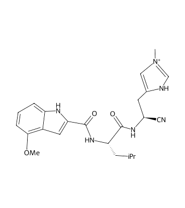 COc1cccc2[nH]c(C(=O)N[C@@H](CC(C)C)C(=O)N[C@H](C#N)Cc3c[n+](C)c[nH]3)cc12